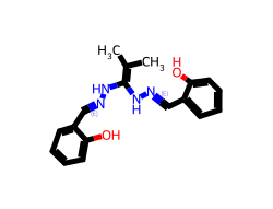 CC(C)=C(N/N=C/c1ccccc1O)N/N=C/c1ccccc1O